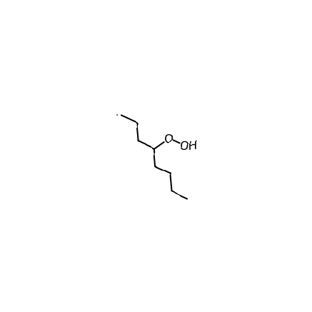 [CH2]CCC(CCCC)OO